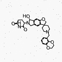 O=C1CCC(N2Cc3cc4c(cc3C2O)OCC42CCN(Cc3cccc4c3OCCO4)CC2)C(=O)N1